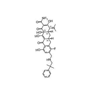 CN(C)[C@@H]1C(O)=C(C(N)=O)C(=O)[C@@]2(O)C(O)=C3C(=O)c4c(O)cc(CNCC(C)(C)c5ccccc5)c(F)c4C[C@H]3C[C@@H]12